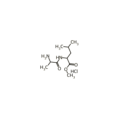 COC(=O)C(CC(C)C)NC(=O)C(C)N.Cl